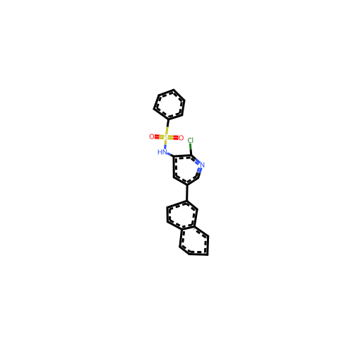 O=S(=O)(Nc1cc(-c2ccc3ccccc3c2)cnc1Cl)c1ccccc1